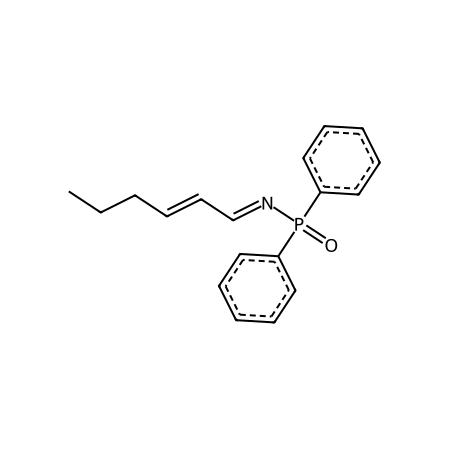 CCC/C=C/C=NP(=O)(c1ccccc1)c1ccccc1